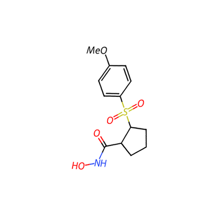 COc1ccc(S(=O)(=O)C2CCCC2C(=O)NO)cc1